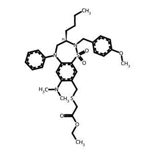 CCCC[C@@H]1CN(c2ccccc2)c2cc(N(C)C)c(CSCC(=O)OCC)cc2S(=O)(=O)N1Cc1ccc(OC)cc1